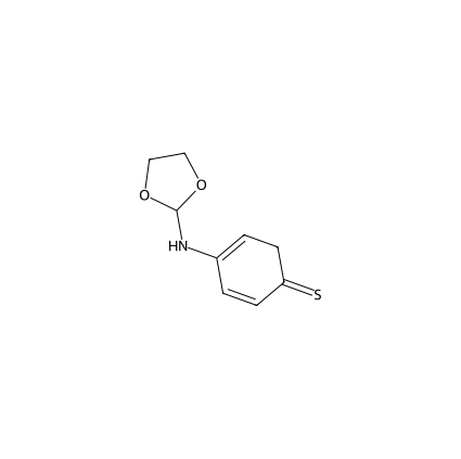 S=C1C=CC(NC2OCCO2)=CC1